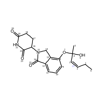 CC/C=C\C(C)(O)Oc1cccc2c1CN(C1CCC(=O)NC1=O)C2=O